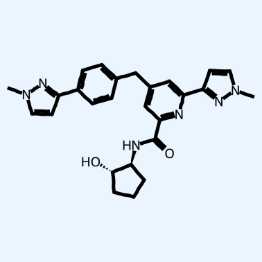 Cn1ccc(-c2ccc(Cc3cc(C(=O)N[C@H]4CCC[C@@H]4O)nc(-c4ccn(C)n4)c3)cc2)n1